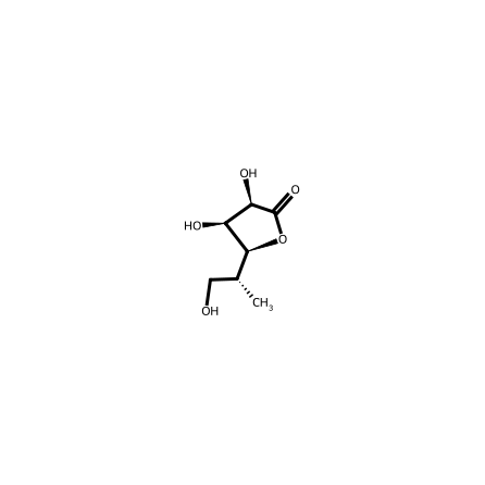 C[C@H](CO)[C@@H]1OC(=O)[C@H](O)[C@@H]1O